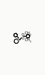 Cc1cccc(C)c1C(=O)OCC[N+]1(Cc2ccccc2)CCCCCC1